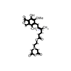 COc1c(O)c2c(c(C)c1C/C=C(\C)CCC(=O)OCCN1CC(=O)OC(=O)C1)COC2=O